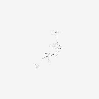 CC(=O)NCCSc1c(NC(=O)CCCCNC(=N)N)cc(Br)cc1NC(=O)c1cc(C(=O)Nc2cc(Br)cc(NC(=O)CCCCNC(=N)N)c2SCCNC(C)=O)ncn1